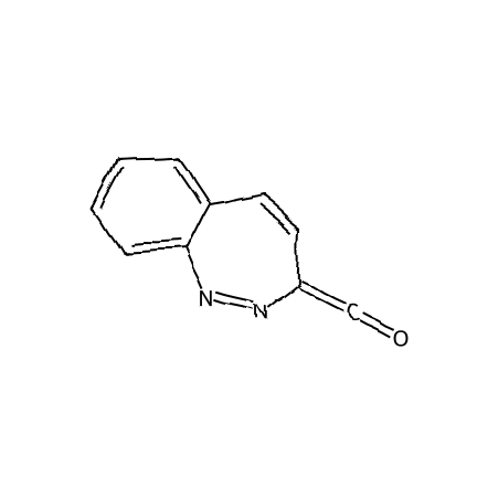 O=C=C1C=Cc2ccccc2N=N1